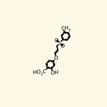 Cc1cccc(S(=O)(=O)CC=COc2ccc(C(=O)O)c(O)c2)c1